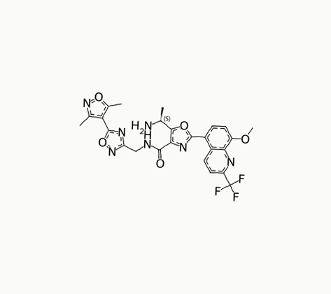 COc1ccc(-c2nc(C(=O)NCc3noc(-c4c(C)noc4C)n3)c([C@H](C)N)o2)c2ccc(C(F)(F)F)nc12